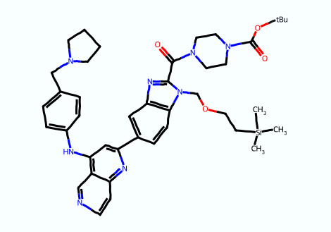 CC(C)(C)OC(=O)N1CCN(C(=O)c2nc3cc(-c4cc(Nc5ccc(CN6CCCC6)cc5)c5cnccc5n4)ccc3n2COCC[Si](C)(C)C)CC1